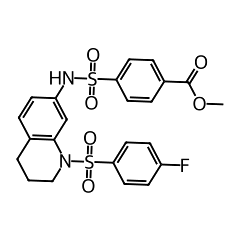 COC(=O)c1ccc(S(=O)(=O)Nc2ccc3c(c2)N(S(=O)(=O)c2ccc(F)cc2)CCC3)cc1